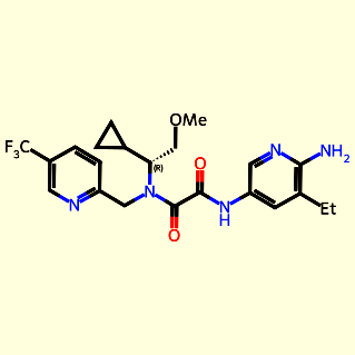 CCc1cc(NC(=O)C(=O)N(Cc2ccc(C(F)(F)F)cn2)[C@@H](COC)C2CC2)cnc1N